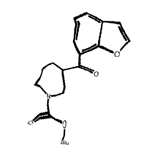 CC(C)(C)OC(=O)N1CCCC(C(=O)c2cccc3ccoc23)C1